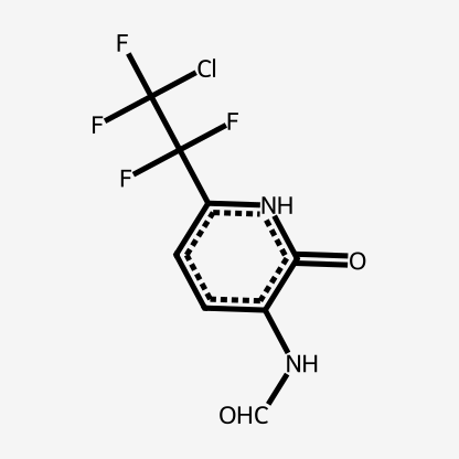 O=CNc1ccc(C(F)(F)C(F)(F)Cl)[nH]c1=O